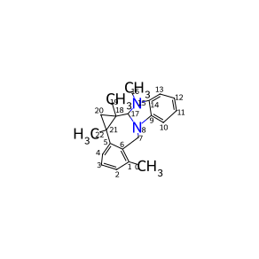 Cc1cccc2c1CN1c3ccccc3N(C)C1C1(C)CC21C